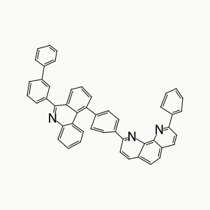 c1ccc(-c2cccc(-c3nc4ccccc4c4c(-c5ccc(-c6ccc7ccc8ccc(-c9ccccc9)nc8c7n6)cc5)cccc34)c2)cc1